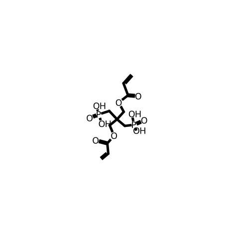 C=CC(=O)OCC(COC(=O)C=C)(CP(=O)(O)O)CP(=O)(O)O